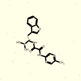 Cc1cnc(NC(=O)C(=O)N[C@@H](Cc2coc3ccccc23)B(O)O)cn1